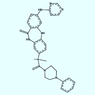 CC(C)(C(=O)N1CCN(c2ccccc2)CC1)c1ccc2c(c1)NC(=O)c1ccc(Nc3ccncn3)cc1N2